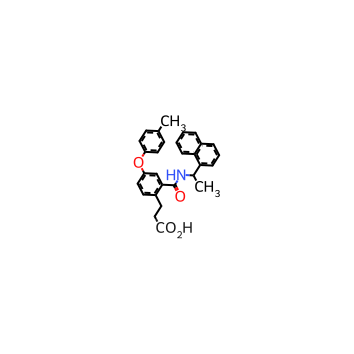 Cc1ccc(Oc2ccc(CCC(=O)O)c(C(=O)NC(C)c3cccc4ccccc34)c2)cc1